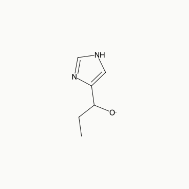 CCC([O])c1c[nH]cn1